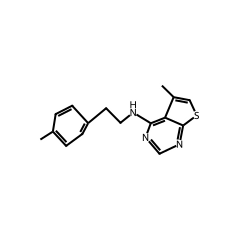 Cc1ccc(CCNc2ncnc3scc(C)c23)cc1